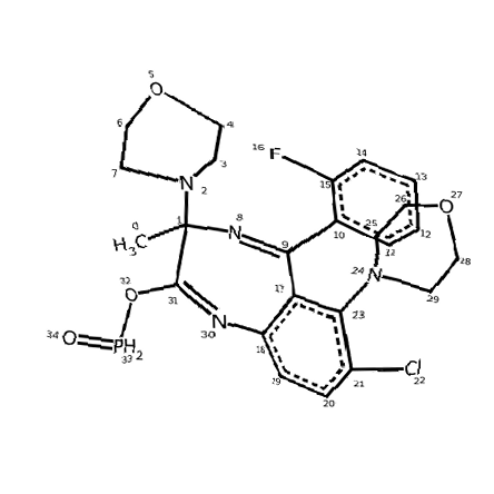 CC1(N2CCOCC2)N=C(c2ccccc2F)c2c(ccc(Cl)c2N2CCOCC2)N=C1O[PH2]=O